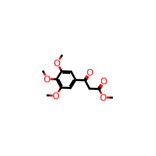 COC(=O)CC(=O)c1cc(OC)c(OC)c(OC)c1